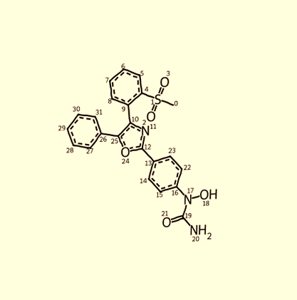 CS(=O)(=O)c1ccccc1-c1nc(-c2ccc(N(O)C(N)=O)cc2)oc1-c1ccccc1